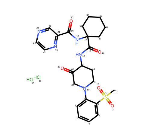 CS(=O)(=O)c1ccccc1N1CCC(NC(=O)C2(NC(=O)c3cnccn3)CCCCC2)C(=O)C1.Cl.Cl